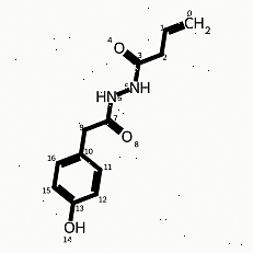 C=CCC(=O)NNC(=O)Cc1ccc(O)cc1